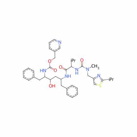 CC(C)c1nc(CN(C)C(=O)NC(C(=O)NC(Cc2ccccc2)CC(O)C(Cc2ccccc2)NC(=O)OCc2cccnc2)C(C)C)cs1